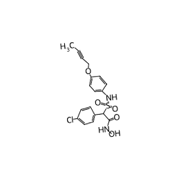 CC#CCOc1ccc(NS(=O)(=O)C(C(=O)NO)c2ccc(Cl)cc2)cc1